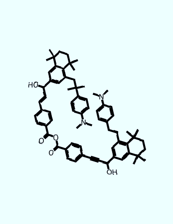 CN(C)c1ccc(CCc2cc(C(O)C#Cc3ccc(C(=O)OC(=O)c4ccc(C=CC(O)c5cc(CC(C)(C)c6ccc(N(C)C)cc6)c6c(c5)C(C)(C)CCC6(C)C)cc4)cc3)cc3c2C(C)(C)CCC3(C)C)cc1